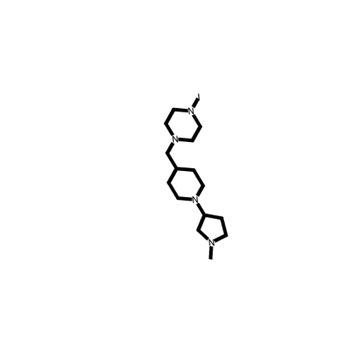 CN1CCC(N2CCC(CN3CCN(I)CC3)CC2)C1